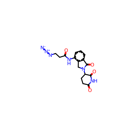 [N-]=[N+]=NCCC(=O)Nc1cccc2c1CN(C1CCC(=O)NC1=O)C2=O